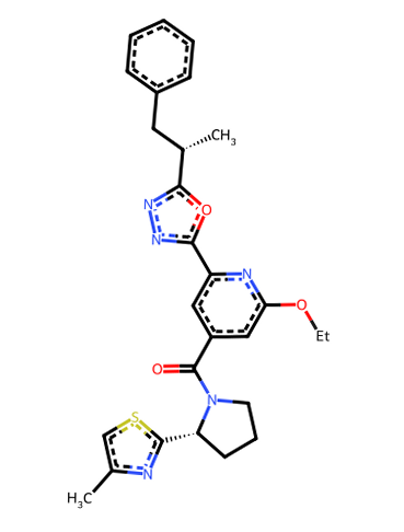 CCOc1cc(C(=O)N2CCC[C@@H]2c2nc(C)cs2)cc(-c2nnc([C@@H](C)Cc3ccccc3)o2)n1